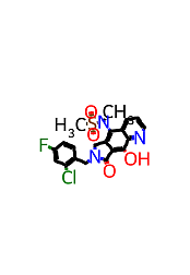 CN(c1c2c(c(O)c3ncccc13)C(=O)N(Cc1ccc(F)cc1Cl)C2)S(C)(=O)=O